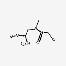 CNC(CN(C)C(=O)CCl)C(=O)O